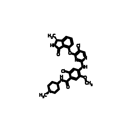 COc1cc(C(=O)NC2CCN(C)CC2)c(Cl)cc1Nc1ncc(Cl)c(Oc2cccc3c2C(=O)N[C@@H]3C)n1